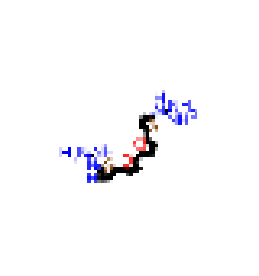 N=C(N)Nc1ccc(-c2ccc(-c3ccc(-c4ccc(NC(=N)N)s4)o3)o2)s1